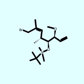 C=C[C@H](OC)[C@@H](O[Si](C)(C)C(C)(C)C)[C@H](C)C=C(C)CBr